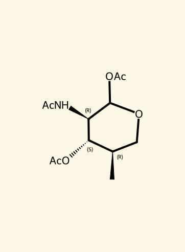 CC(=O)N[C@H]1C(OC(C)=O)OC[C@@H](C)[C@@H]1OC(C)=O